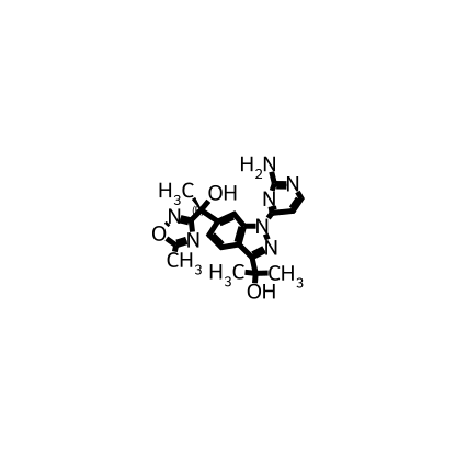 Cc1nc([C@](C)(O)c2ccc3c(C(C)(C)O)nn(-c4ccnc(N)n4)c3c2)no1